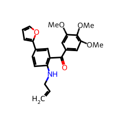 C=CCNc1ccc(-c2ccco2)cc1C(=O)c1cc(OC)c(OC)c(OC)c1